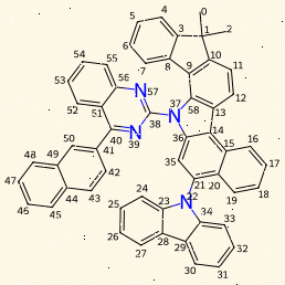 CC1(C)c2ccccc2-c2c1ccc1c3c4ccccc4c(-n4c5ccccc5c5ccccc54)cc3n(-c3nc(-c4ccc5ccccc5c4)c4ccccc4n3)c21